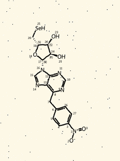 O=[N+]([O-])c1ccc(Cc2ncnc3c2ncn3[C@@H]2O[C@H](C[SeH])[C@@H](O)[C@H]2O)cc1